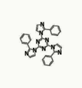 c1ccc(-c2nccn2-c2nc(-n3ccnc3-c3ccccc3)nc(-n3ccnc3-c3ccccc3)n2)cc1